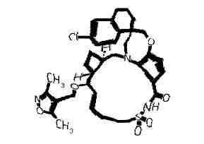 Cc1noc(C)c1CO[C@@H]1/C=C/CCCS(=O)(=O)NC(=O)c2ccc3c(c2)N(C[C@@H]2CC[C@H]21)C[C@@]1(CCCc2cc(Cl)ccc21)CO3